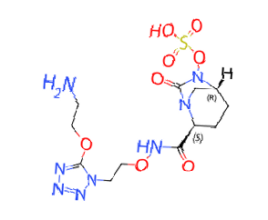 NCCOc1nnnn1CCONC(=O)[C@@H]1CC[C@@H]2CN1C(=O)N2OS(=O)(=O)O